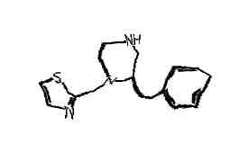 c1ccc(CC2CNCCN2Cc2nccs2)cc1